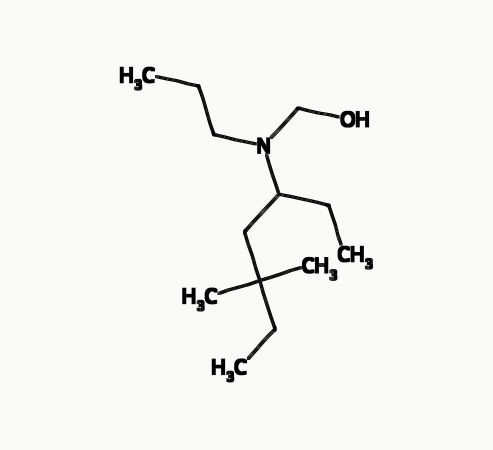 CCCN(CO)C(CC)CC(C)(C)CC